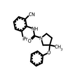 CC(C)c1cccc(C#N)c1NC(=O)N1CCC(C)(Oc2ccccc2)C1